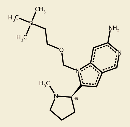 CN1CCC[C@@H]1c1cc2cnc(N)cc2n1COCC[Si](C)(C)C